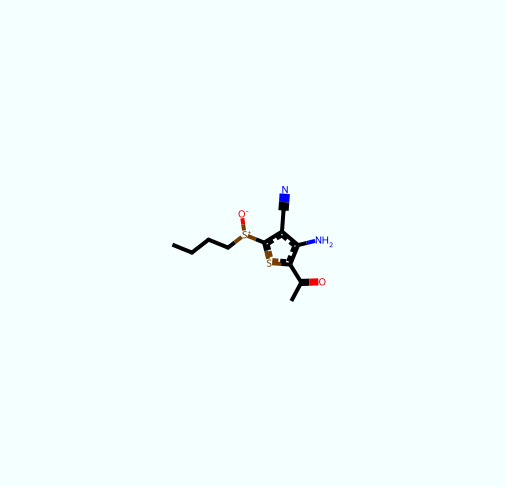 CCCC[S+]([O-])c1sc(C(C)=O)c(N)c1C#N